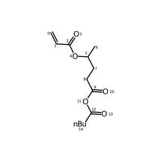 C=CC(=O)OC(C)CCC(=O)OC(=O)CCCC